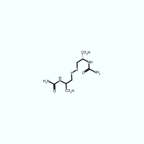 NC(=O)NC(CSSC[C@@H](NC(N)=O)C(=O)O)C(=O)O